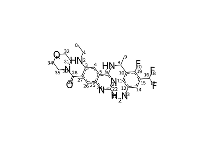 CCNc1cc2c(NC(C)c3cc(N)cc(C(F)F)c3F)nc(C)nc2cc1C(=O)N1CCOCC1